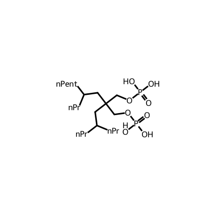 CCCCCC(CCC)CC(COP(=O)(O)O)(COP(=O)(O)O)CC(CCC)CCC